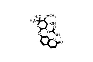 COC1[C@H](O)[C@H](OC(N)=O)C(Oc2ccc3ccc(=O)oc3c2)OC1(C)C